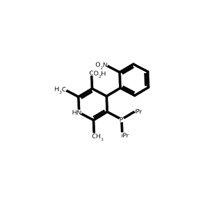 CC1=C(C(=O)O)C(c2ccccc2[N+](=O)[O-])C(P(C(C)C)C(C)C)=C(C)N1